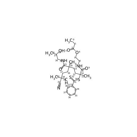 CCC(=O)OCCNC(=O)C(C)(CCC(C)(CCC(C)(C)C#N)C(=O)NCC(C)O)SC(=S)c1ccccc1